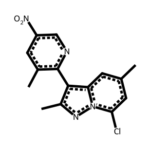 Cc1cc(Cl)n2nc(C)c(-c3ncc([N+](=O)[O-])cc3C)c2c1